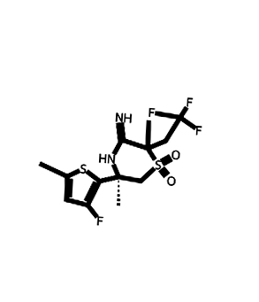 Cc1cc(F)c([C@]2(C)CS(=O)(=O)C(C)(CC(F)(F)F)C(=N)N2)s1